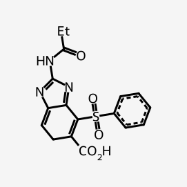 CCC(=O)NC1=NC2=CCC(C(=O)O)=C(S(=O)(=O)c3ccccc3)C2=N1